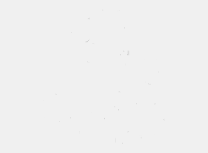 Cc1ccccc1[C@@H](C)OC(=O)NC1=C(C2=CC=C(NC(=O)[C@H]3CCCC[C@@H]3C(=O)O)C3(C)CC23)C=CCCC1C